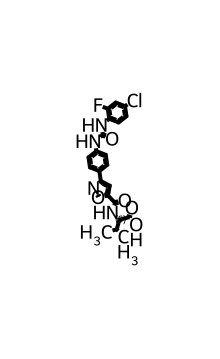 CC(C)[C@H](NC(=O)c1cc(-c2ccc(NC(=O)Nc3ccc(Cl)cc3F)cc2)no1)C(=O)O